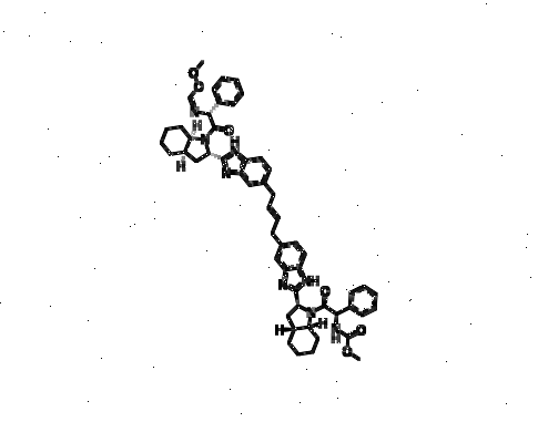 COO/C=N\[C@@H](C(=O)N1[C@@H]2CCCC[C@@H]2C[C@H]1c1nc2cc(C/C=C/Cc3ccc4[nH]c([C@@H]5C[C@H]6CCCC[C@H]6N5C(=O)[C@H](NC(=O)OC)c5ccccc5)nc4c3)ccc2[nH]1)c1ccccc1